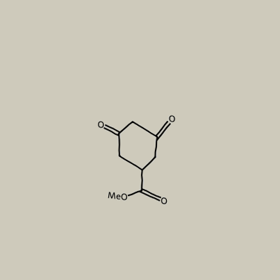 COC(=O)C1CC(=O)CC(=O)C1